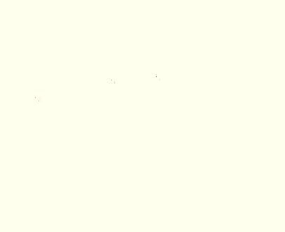 CC(N)C(=O)OC(CN1CCCC1C1=N[C@](C)(Cc2cccc(Cl)c2)CO1)C(C)OCc1ccccc1